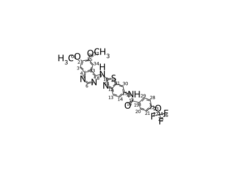 COc1cc2ncnc(Nc3nc4ccc(NC(=O)c5ccc(OC(F)(F)F)cc5)cc4s3)c2cc1OC